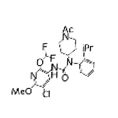 COc1nc(OC(F)F)c(NC(=O)N(c2ccccc2C(C)C)C2CCN(C(C)=O)CC2)cc1Cl